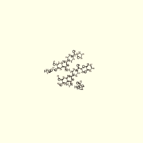 COc1cc2nc(N3CCN(C(=O)C4CCCO4)CC3)nc(N)c2cc1OC.COc1cc2nc(N3CCN(C(=O)C4COc5ccccc5O4)CC3)nc(N)c2cc1OC.CS(=O)(=O)O.Cl.O.O